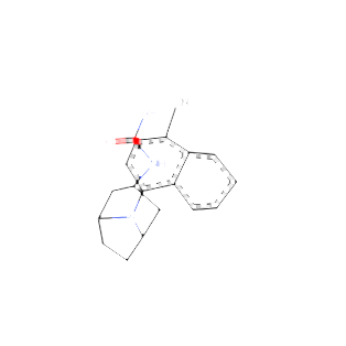 N#Cc1ccc(N2C3CCC2CC(NC(N)=O)C3)c2ccccc12